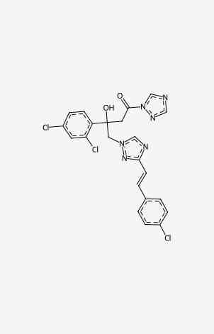 O=C(CC(O)(Cn1cnc(C=Cc2ccc(Cl)cc2)n1)c1ccc(Cl)cc1Cl)n1cncn1